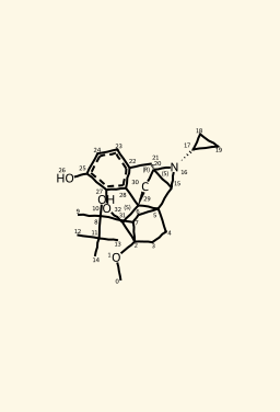 COC12CCC3(CC1C(C)(O)C(C)(C)C)C1[N@@](C4CC4)[C@@]14Cc1ccc(O)c5c1[C@@]3(C4)C2O5